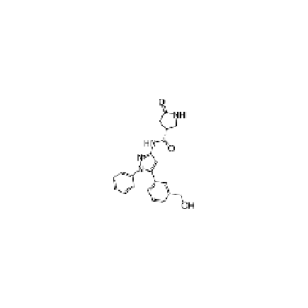 O=C1C[C@@H](C(=O)Nc2cc(-c3cccc(CO)c3)n(-c3ccccc3)n2)CN1